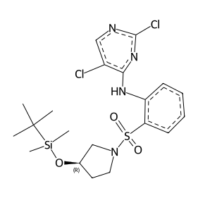 CC(C)(C)[Si](C)(C)O[C@@H]1CCN(S(=O)(=O)c2ccccc2Nc2nc(Cl)ncc2Cl)C1